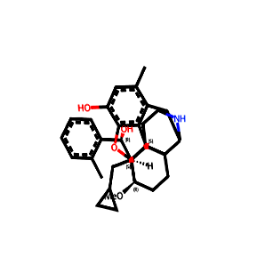 CO[C@]12CCC3(CC1(CC1CC1)[C@H](O)c1ccccc1C)C1Cc4c(C)cc(O)c5c4[C@@]3(CCN1)[C@@H]2O5